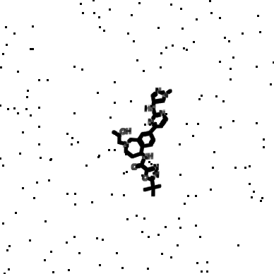 CC(O)CN1CCC(NC(=O)c2nnc(C(C)(C)C)o2)c2ccc(-c3ccnc(Nc4cnn(C)c4)n3)cc2C1